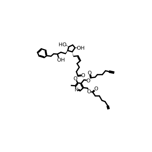 C#CCCCCC(=O)OCc1cnc(C)c(OC(=O)CCC/C=C\C[C@@H]2[C@@H](CCC(O)CCc3ccccc3)[C@H](O)C[C@@H]2O)c1COC(=O)CCCCC#C